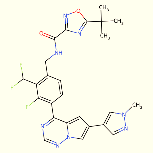 Cn1cc(-c2cc3c(-c4ccc(CNC(=O)c5noc(C(C)(C)C)n5)c(C(F)F)c4F)ncnn3c2)cn1